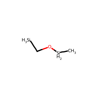 C[SiH2]OC[SiH3]